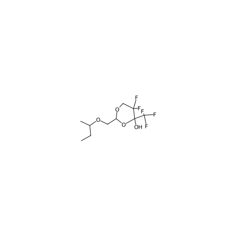 CCC(C)OCC1OCC(F)(F)C(O)(C(F)(F)F)O1